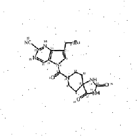 CC(C)(C)Cc1cn(C(=O)N2CCC3(CC2)NC(=O)NC3=O)c2cnc(C#N)nc12